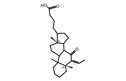 C/C=C1\C(=O)C2C(CC[C@]3(C)C(CCCC(=O)O)CCC23)C2(C)CCCC[C@@]12C